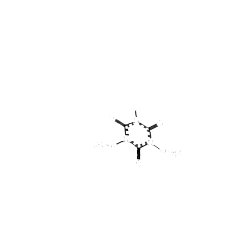 CCCCCCCn1c(=O)n(CC)c(=O)n(CCCCCCC)c1=O